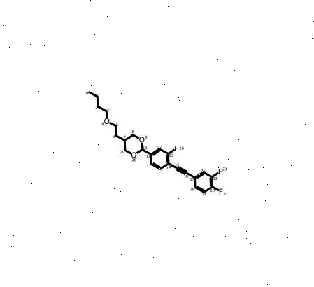 CCCCOCCC1COC(c2ccc(C#Cc3ccc(F)c(F)c3)c(F)c2)OC1